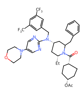 CC[C@@H]1C[C@H](N(Cc2cc(C(F)(F)F)cc(C(F)(F)F)c2)c2ncc(N3CCOCC3)cn2)CC(Cc2ccccc2)N1C(=O)[C@H]1CC[C@@H](OC(C)=O)CC1